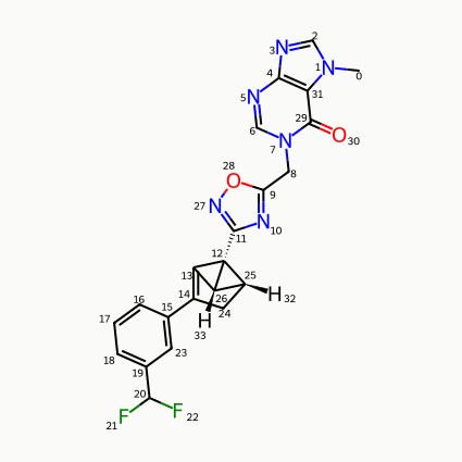 Cn1cnc2ncn(Cc3nc([C@]45C6=C(c7cccc(C(F)F)c7)C[C@@H]4[C@H]65)no3)c(=O)c21